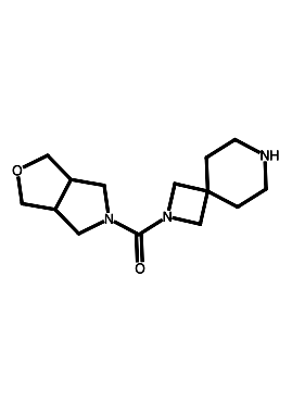 O=C(N1CC2COCC2C1)N1CC2(CCNCC2)C1